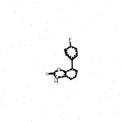 O=c1[nH]c2cccc(-c3ccc(F)cc3)c2o1